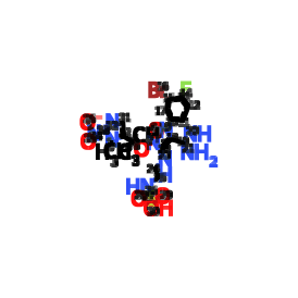 Cn1c(C(C)(C)ON2ON(c3ccc(F)c(Br)c3)C(C(=N)N)=C2NCCNS(=O)(=O)O)cnc1[N+](=O)[O-]